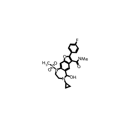 CNC(=O)c1c(-c2ccc(F)cc2)oc2cc3c(cc12)C(O)N(C1CC1)CCN3S(C)(=O)=O